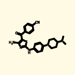 CN(C)C1CCN(c2ccc(Nc3nc(N)c(C(=O)c4ccc(C#N)cc4)s3)cc2)CC1